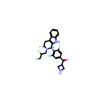 C[C@@H]1Cc2c([nH]c3ccccc23)[C@@H](c2c(F)cc(C(=O)C3CNC3)cc2F)N1CC(F)CF